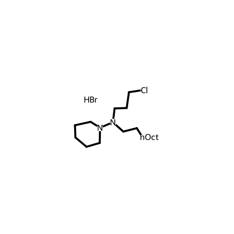 Br.CCCCCCCCCCN(CCCCl)N1CCCCC1